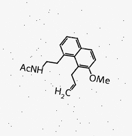 C=CCc1c(OC)ccc2cccc(CCNC(C)=O)c12